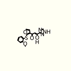 COc1ccccc1Sc1occc1C(=O)C=C(O)c1nc[nH]n1